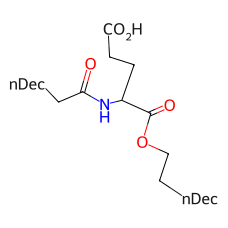 CCCCCCCCCCCCOC(=O)C(CCC(=O)O)NC(=O)CCCCCCCCCCC